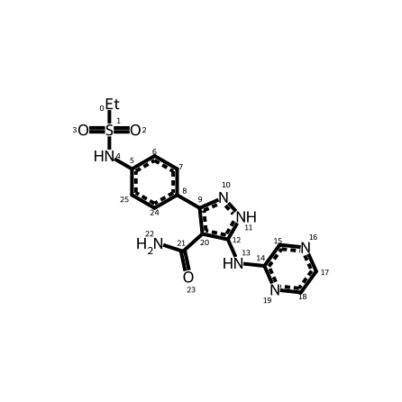 CCS(=O)(=O)Nc1ccc(-c2n[nH]c(Nc3cnccn3)c2C(N)=O)cc1